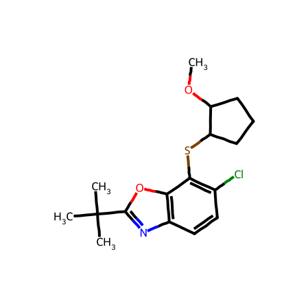 COC1CCCC1Sc1c(Cl)ccc2nc(C(C)(C)C)oc12